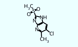 Cc1nc2nc(S(C)(=O)=O)[nH]c2cc1Cl